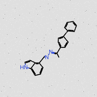 C/C(=N\N=C\c1cccc2[nH]ccc12)c1ccc(-c2ccccc2)cc1